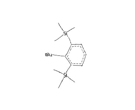 CC(C)(C)c1c([Si](C)(C)C)cccc1[Si](C)(C)C